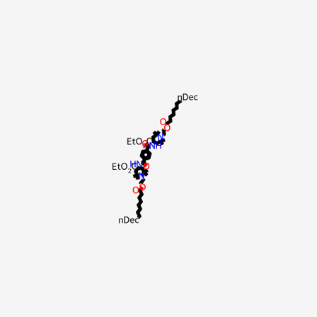 CCCCCCCCCCCCCCCCCC(=O)OCCN1C(C)(C)CC(NC(=O)c2ccc(C(=O)NC3(C(=O)OCC)CC(C)(C)N(CCOC(=O)CCCCCCCCCCCCCCCCC)C(C)(C)C3)cc2)(C(=O)OCC)CC1(C)C